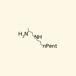 CCCCCCCCNCCC(C)N